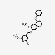 COc1cc(COc2cc3ncnc(Oc4ccccc4)c3cc2OC)cc(Cl)n1